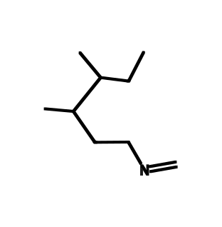 C=NCCC(C)C(C)CC